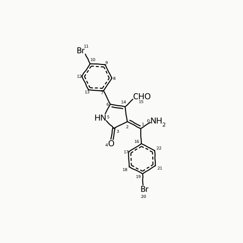 N/C(=C1/C(=O)NC(c2ccc(Br)cc2)=C1C=O)c1ccc(Br)cc1